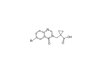 O=C(O)C1(Cn2cnc3ccc(Br)cc3c2=O)CC1